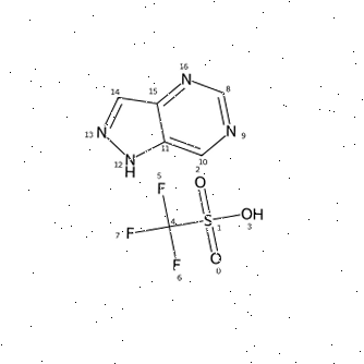 O=S(=O)(O)C(F)(F)F.c1ncc2[nH]ncc2n1